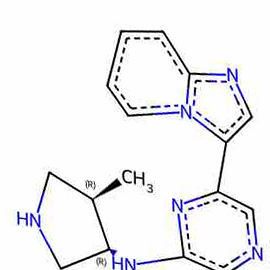 C[C@@H]1CNC[C@@H]1Nc1cncc(-c2cnc3ccccn23)n1